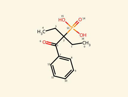 CCC(CC)(C(=O)c1ccccc1)P(=O)(O)O